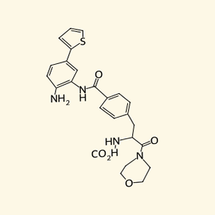 Nc1ccc(-c2cccs2)cc1NC(=O)c1ccc(CC(NC(=O)O)C(=O)N2CCOCC2)cc1